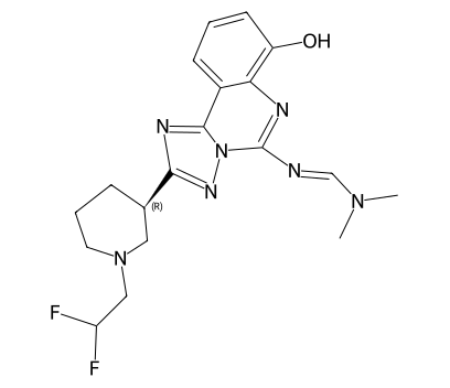 CN(C)C=Nc1nc2c(O)cccc2c2nc([C@@H]3CCCN(CC(F)F)C3)nn12